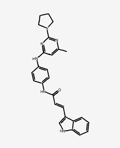 Cc1cc(Nc2ccc(NC(=O)/C=C/c3c[nH]c4ccccc34)cc2)nc(N2CCCC2)n1